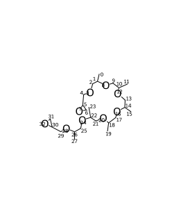 CC(COCC1CO1)OCC(C)OCC(C)OCC(C)OCC(C)OCC(C)OCC1CO1